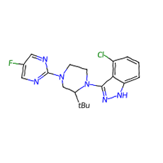 CC(C)(C)C1CN(c2ncc(F)cn2)CCN1c1n[nH]c2cccc(Cl)c12